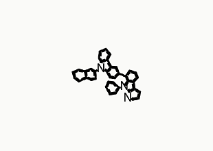 c1ccc(-n2c3ncccc3c3cccc(-c4ccc5c(c4)c4ccccc4n5-c4ccc5ccccc5c4)c32)cc1